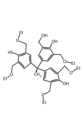 CCOCc1cc([C@](C)(c2cc(COCC)c(O)c(COCC)c2)c2cc(COCC)c(S)c(COCC)c2)cc(CO)c1O